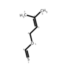 CC(C)=CCOC=S